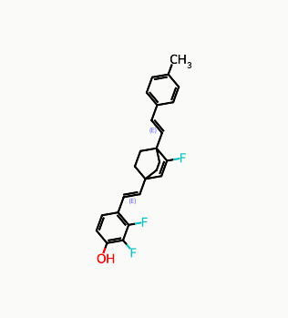 Cc1ccc(/C=C/C23CCC(/C=C/c4ccc(O)c(F)c4F)(C=C2F)CC3)cc1